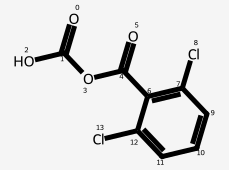 O=C(O)OC(=O)c1c(Cl)cccc1Cl